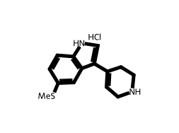 CSc1ccc2[nH]cc(C3=CCNCC3)c2c1.Cl